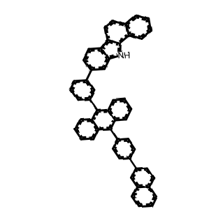 c1cc(-c2ccc3c(c2)[nH]c2c4ccccc4ccc32)cc(-c2c3ccccc3c(-c3ccc(-c4ccc5ccccc5c4)cc3)c3ccccc23)c1